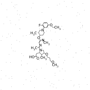 C=N/C(=C\N=C(/C)N1CC(OCCCOC)C(C)C1CC(=O)O)O[C@@H]1CCN(c2cc(OCC)ccc2F)C[C@H]1C